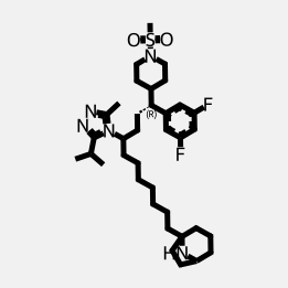 Cc1nnc(C(C)C)n1C(CCCCCCCC12CCCC(CC1)N2)CC[C@@H](c1cc(F)cc(F)c1)C1CCN(S(C)(=O)=O)CC1